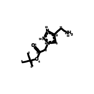 CC(C)(C)OC(=O)Cn1cc(CN)nn1